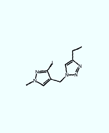 CCc1cn(Cc2cn(C)nc2I)nn1